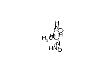 CN1CC(CN2CCNC(=O)C2)C[C@@H]2c3cccc4[nH]cc(c34)C[C@H]21